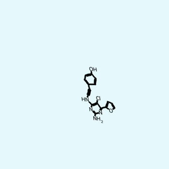 Nc1nc(NC#Cc2ccc(O)cc2)c(Cl)c(-c2ccco2)n1